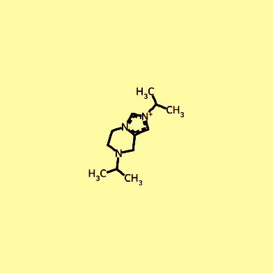 CC(C)N1CCn2c[n+](C(C)C)cc2C1